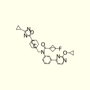 O=C(N(CC12CCC(c3nc(C4CC4)no3)(CC1)CC2)c1cccc(-c2ccnc(OC3CC3)n2)c1)C12CC(F)(C1)C2